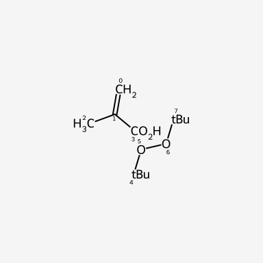 C=C(C)C(=O)O.CC(C)(C)OOC(C)(C)C